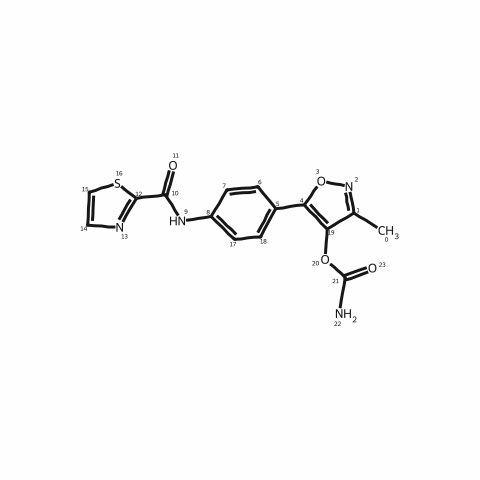 Cc1noc(-c2ccc(NC(=O)c3nccs3)cc2)c1OC(N)=O